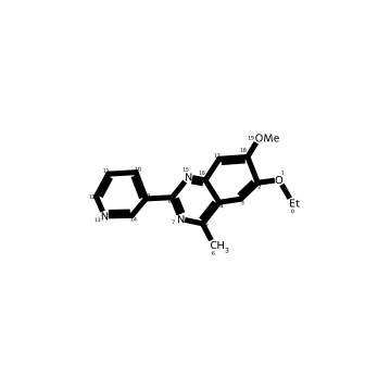 CCOc1cc2c(C)nc(-c3cccnc3)nc2cc1OC